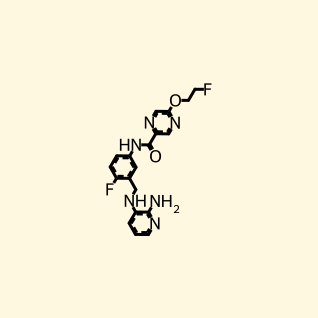 Nc1ncccc1NCc1cc(NC(=O)c2cnc(OCCF)cn2)ccc1F